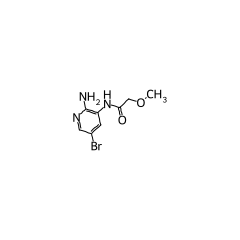 COCC(=O)Nc1cc(Br)cnc1N